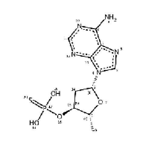 C[C@H]1O[C@@H](n2cnc3c(N)ncnc32)C[C@@H]1OP(O)(O)=S